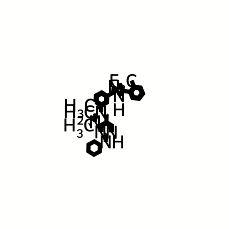 C=C1N(C)c2nc(NC3CCCCC3)ncc2CN1c1cc(-c2ncc(-c3ccccc3C(F)(F)F)[nH]2)ccc1C